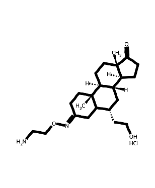 C[C@]12CCC(=NOCCN)CC1[C@@H](CCO)C[C@@H]1[C@@H]2CC[C@]2(C)C(=O)CC[C@@H]12.Cl